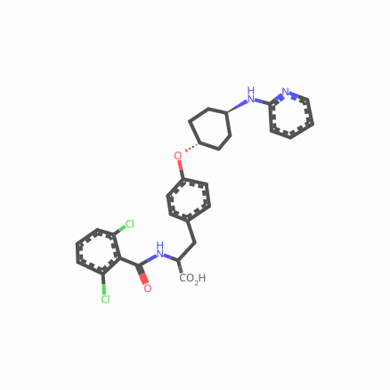 O=C(NC(Cc1ccc(O[C@H]2CC[C@H](Nc3ccccn3)CC2)cc1)C(=O)O)c1c(Cl)cccc1Cl